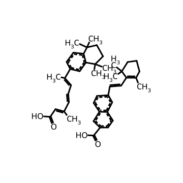 CC(C=CC=C(C)c1ccc2c(c1)C(C)(C)CCC2(C)C)=CC(=O)O.CC1=C(C=Cc2ccc3cc(C(=O)O)ccc3c2)C(C)(C)CCC1